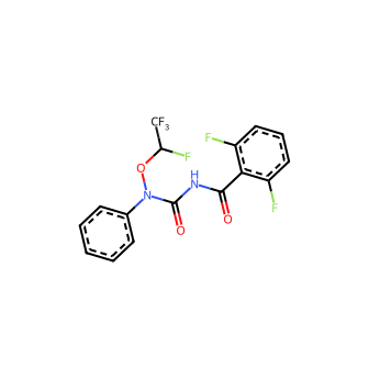 O=C(NC(=O)N(OC(F)C(F)(F)F)c1ccccc1)c1c(F)cccc1F